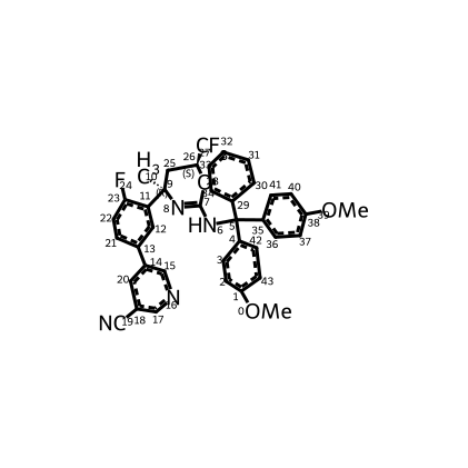 COc1ccc(C(NC2=N[C@@](C)(c3cc(-c4cncc(C#N)c4)ccc3F)C[C@@H](C(F)(F)F)O2)(c2ccccc2)c2ccc(OC)cc2)cc1